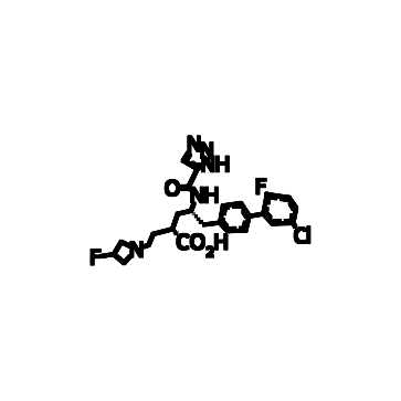 O=C(N[C@H](Cc1ccc(-c2cc(Cl)ccc2F)cc1)C[C@@H](CCN1CC(F)C1)C(=O)O)c1cnn[nH]1